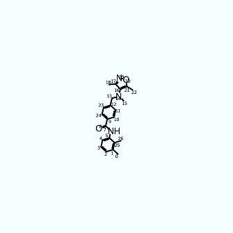 Cc1cccc(NC(=O)c2ccc(CN(C)c3c(C)noc3C)cc2)c1C